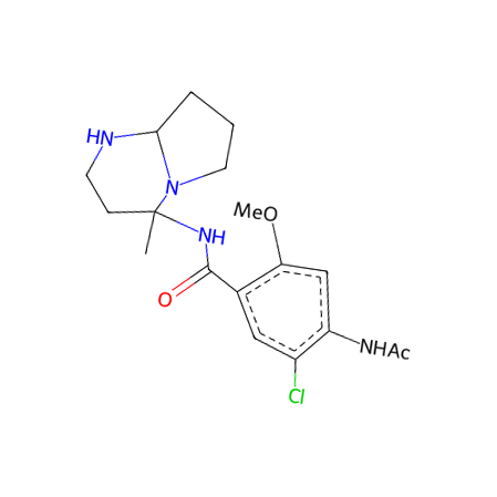 COc1cc(NC(C)=O)c(Cl)cc1C(=O)NC1(C)CCNC2CCCN21